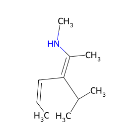 C/C=C\C(=C(\C)NC)C(C)C